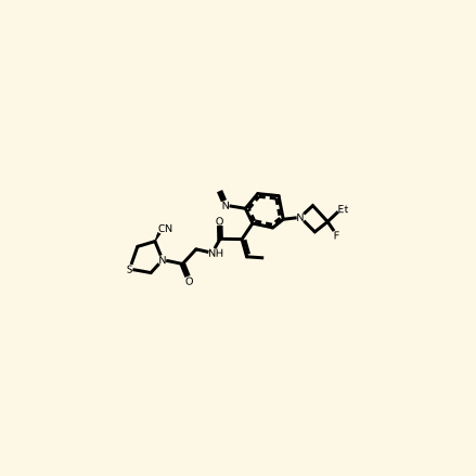 C=Nc1ccc(N2CC(F)(CC)C2)cc1/C(=C\C)C(=O)NCC(=O)N1CSC[C@H]1C#N